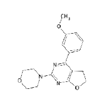 COc1cccc(-c2nc(N3CCOCC3)nc3c2CCO3)c1